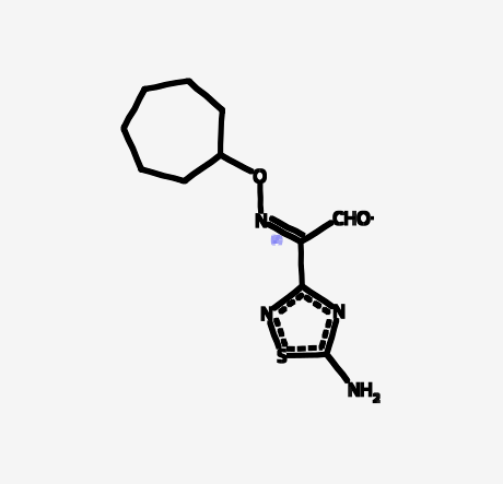 Nc1nc(/C([C]=O)=N/OC2CCCCCC2)ns1